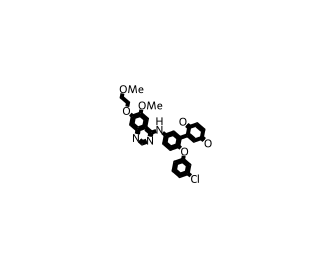 COCCOc1cc2ncnc(Nc3ccc(Oc4cccc(Cl)c4)c(C4=CC(=O)C=CC4=O)c3)c2cc1OC